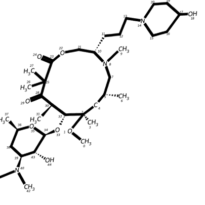 CO[C@]1(C)C[C@@H](C)CN(C)[C@@H](CCCN2CCC(O)CC2)COC(=O)C(C)(C)C(=O)[C@H](C)[C@H]1O[C@@H]1O[C@H](C)C[C@H](N(C)C)[C@H]1O